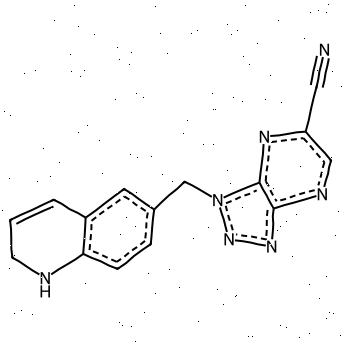 N#Cc1cnc2nnn(Cc3ccc4c(c3)C=CCN4)c2n1